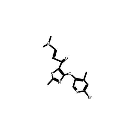 Cc1nc(Oc2cnc(Br)cc2C)c(C(=O)/C=C/N(C)C)s1